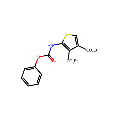 CCOC(=O)c1csc(NC(=O)Oc2ccccc2)c1C(=O)OCC